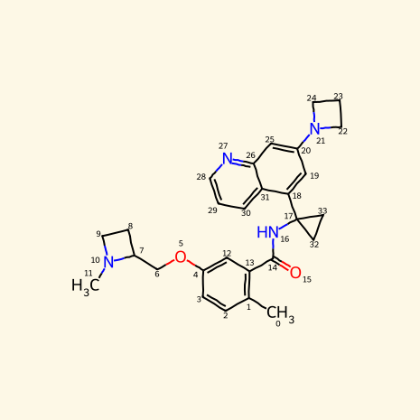 Cc1ccc(OCC2CCN2C)cc1C(=O)NC1(c2cc(N3CCC3)cc3ncccc23)CC1